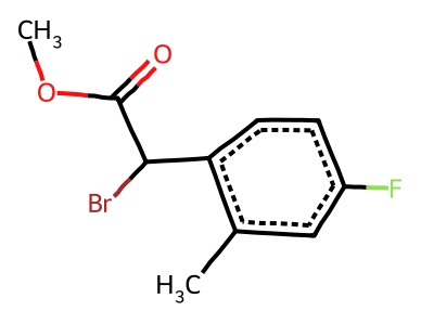 COC(=O)C(Br)c1ccc(F)cc1C